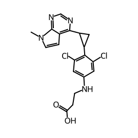 Cn1ccc2c(C3CC3c3c(Cl)cc(NCCC(=O)O)cc3Cl)ncnc21